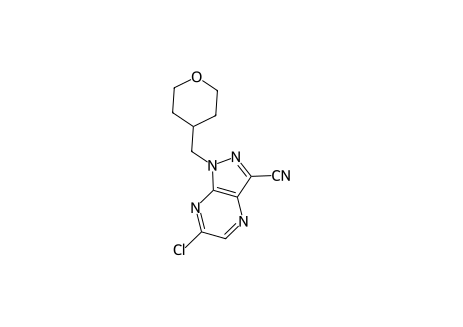 N#Cc1nn(CC2CCOCC2)c2nc(Cl)cnc12